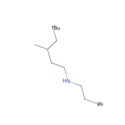 CC(C)CCNCCC(C)CC(C)(C)C